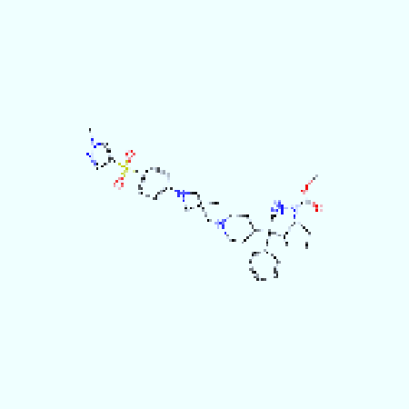 COC(=O)N[C@H]1CCC[C@@H]1C(C#N)(c1ccccc1)C1CCN(CC2(C)CN(c3ccc(S(=O)(=O)c4cnn(C)c4)cc3)C2)CC1